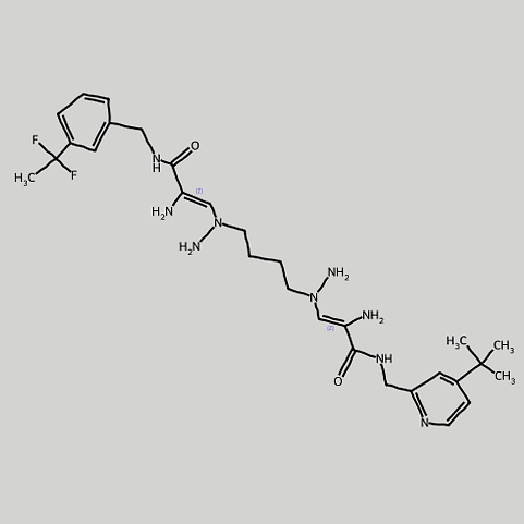 CC(C)(C)c1ccnc(CNC(=O)/C(N)=C/N(N)CCCCN(N)/C=C(\N)C(=O)NCc2cccc(C(C)(F)F)c2)c1